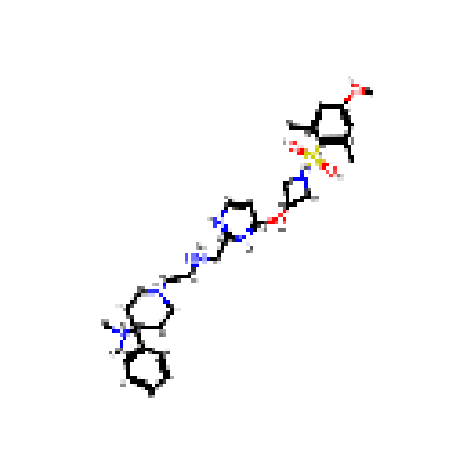 COc1cc(C)c(S(=O)(=O)N2CC(Oc3ccnc(CNCCN4CCC(c5ccccc5)(N(C)C)CC4)n3)C2)c(C)c1